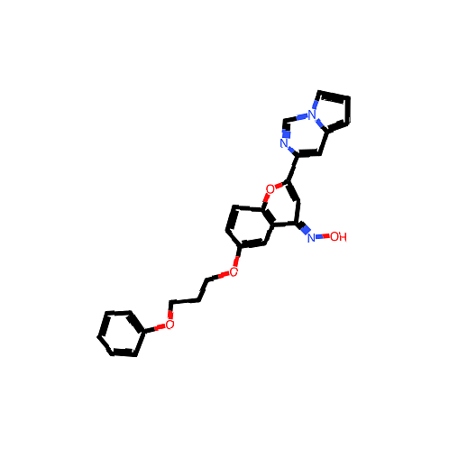 O/N=c1\cc(-c2cc3cccn3cn2)oc2ccc(OCCCOc3ccccc3)cc12